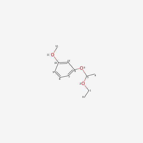 CCOC(C)Oc1cccc(OC)c1